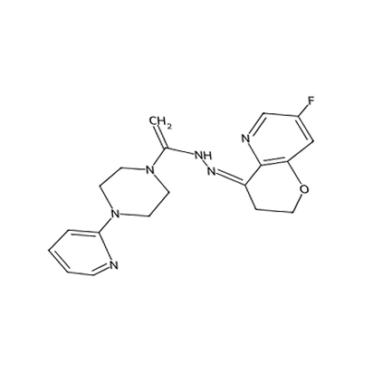 C=C(N/N=C1/CCOc2cc(F)cnc21)N1CCN(c2ccccn2)CC1